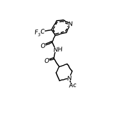 CC(=O)N1CCC(C(=O)NC(=O)c2cnccc2C(F)(F)F)CC1